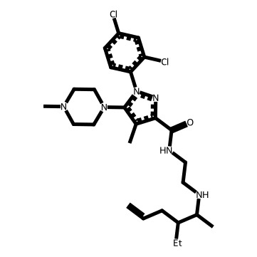 C=CCC(CC)C(C)NCCNC(=O)c1nn(-c2ccc(Cl)cc2Cl)c(N2CCN(C)CC2)c1C